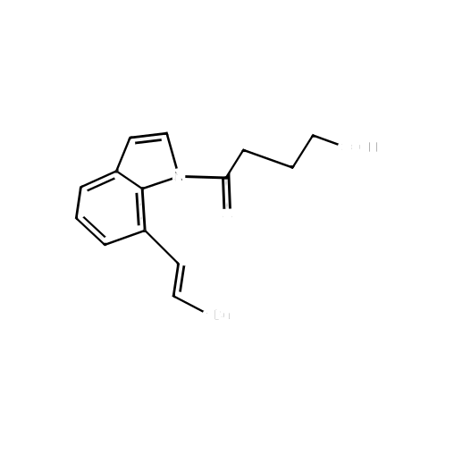 CCCC/C=C/c1cccc2ccn(C(=O)CCCC(=O)O)c12